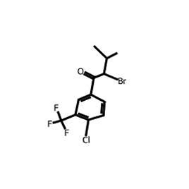 CC(C)C(Br)C(=O)c1ccc(Cl)c(C(F)(F)F)c1